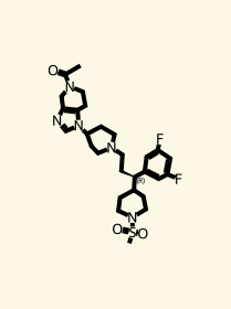 CC(=O)N1CCc2c(ncn2C2CCN(CC[C@@H](c3cc(F)cc(F)c3)C3CCN(S(C)(=O)=O)CC3)CC2)C1